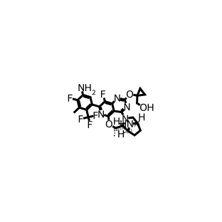 Cc1c(F)c(N)cc(-c2nc3c4c(nc(OC5(CO)CC5)nc4c2F)N2C[C@H]4CC[C@H](N4)[C@H]2[C@H](C)O3)c1C(F)(F)F